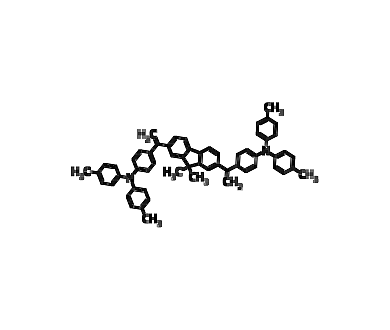 C=C(c1ccc(N(c2ccc(C)cc2)c2ccc(C)cc2)cc1)c1ccc2c(c1)C(C)(C)c1cc(C(=C)c3ccc(N(c4ccc(C)cc4)c4ccc(C)cc4)cc3)ccc1-2